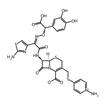 Nc1nc(/C(=N/O[C@@H](C(=O)O)c2ccc(O)c(O)c2)C(=O)N[C@@H]2C(=O)N3C(C(=O)[O-])=C(CSc4cc[n+](N)cc4)CS[C@H]23)cs1